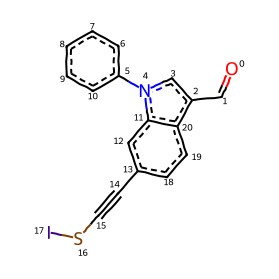 O=Cc1cn(-c2ccccc2)c2cc(C#CSI)ccc12